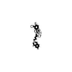 Cl.O=S(=O)(NCCCCCN1CCc2ccccc2C1)c1ccc(F)c(Cl)c1